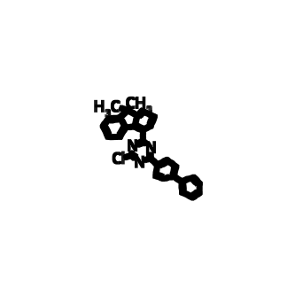 CC1(C)c2ccccc2-c2c(-c3nc(Cl)nc(-c4ccc(-c5ccccc5)cc4)n3)cccc21